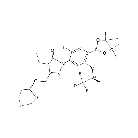 CCn1c(COC2CCCCO2)nn(-c2cc(O[C@@H](C)C(F)(F)F)c(B3OC(C)(C)C(C)(C)O3)cc2F)c1=O